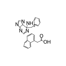 NC1(Cc2ccccc2)N=CN=C2N=CN=C21.O=C(O)Cc1cccc2ccccc12